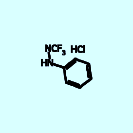 Cl.FC(F)(F)NNc1ccccc1